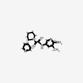 Cc1cc(NC(=O)C(=O)N2CCCC[C@H]2c2ccncc2)cnc1N